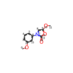 COc1cccc(-n2cc(OC)oc2=O)c1